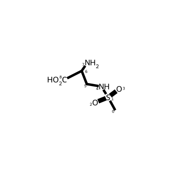 CS(=O)(=O)NCC(N)C(=O)O